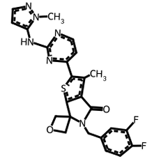 Cc1c(-c2ccnc(Nc3ccnn3C)n2)sc2c1C(=O)N(Cc1ccc(F)c(F)c1)C21COC1